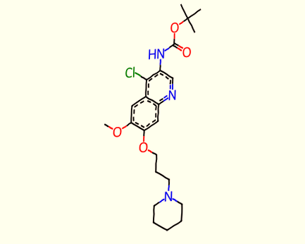 COc1cc2c(Cl)c(NC(=O)OC(C)(C)C)cnc2cc1OCCCN1CCCCC1